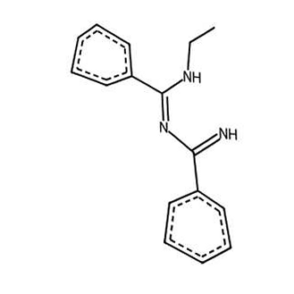 CCN/C(=N\C(=N)c1ccccc1)c1ccccc1